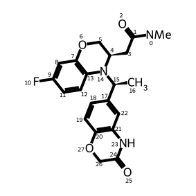 CNC(=O)C[C@@H]1COc2cc(F)ccc2N1[C@@H](C)c1ccc2c(c1)NC(=O)CO2